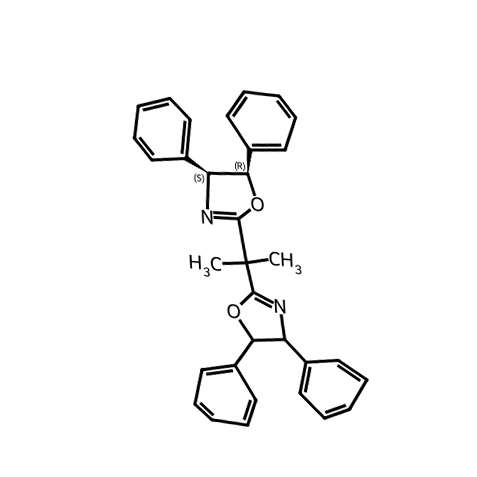 CC(C)(C1=NC(c2ccccc2)C(c2ccccc2)O1)C1=N[C@@H](c2ccccc2)[C@@H](c2ccccc2)O1